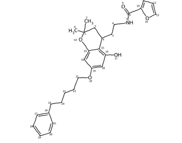 CC1(C)CC(CCNC(=O)c2ccco2)c2c(O)cc(OCCCCCc3ccccc3)cc2O1